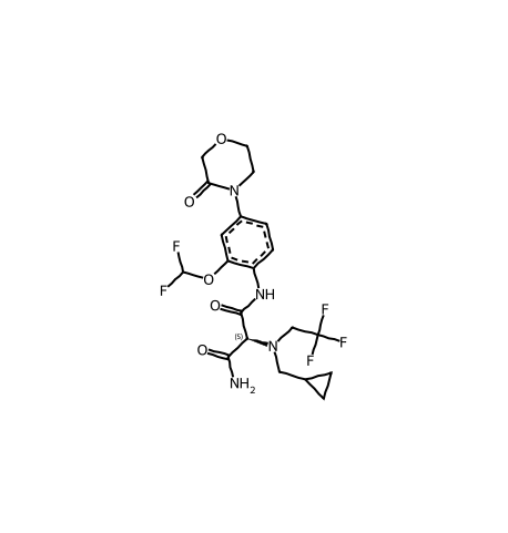 NC(=O)[C@@H](C(=O)Nc1ccc(N2CCOCC2=O)cc1OC(F)F)N(CC1CC1)CC(F)(F)F